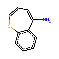 NC1=CC=CSc2ccccc21